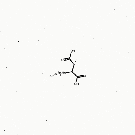 O=C(O)CC(S)C(=O)O.[Au].[Au].[NaH]